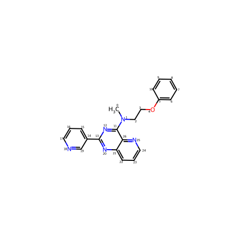 CN(CCOc1ccccc1)c1nc(-c2cccnc2)nc2cccnc12